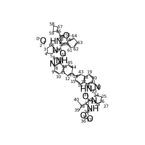 COC[C@H]1C[C@@H](c2nc3ccc4cc(-c5ccc6c(ccc7nc([C@@H]8C[C@H](C)CN8C(=O)[C@@H](NC8OCO8)C(C)C)[nH]c76)c5)ccc4c3[nH]2)N(C(=O)[C@H](NC(=O)C2CCC2)c2ccccc2)C1